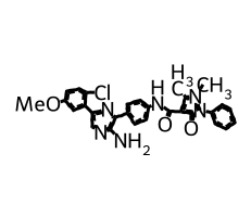 COc1ccc(Cl)c(-c2cnc(N)c(-c3ccc(NC(=O)c4c(C)n(C)n(-c5ccccc5)c4=O)cc3)n2)c1